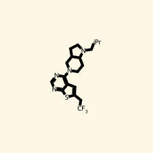 CC(C)CN1CCC2CN(c3ncnc4sc(CC(F)(F)F)cc34)CCC21